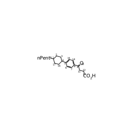 CCCCCC1CCC(c2ccc(C(=O)CCC(=O)O)cc2)CC1